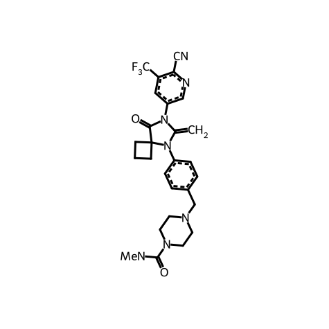 C=C1N(c2cnc(C#N)c(C(F)(F)F)c2)C(=O)C2(CCC2)N1c1ccc(CN2CCN(C(=O)NC)CC2)cc1